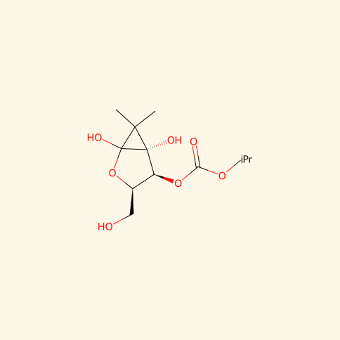 CC(C)OC(=O)O[C@H]1[C@@H](CO)OC2(O)C(C)(C)[C@@]12O